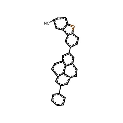 N#Cc1ccc2sc3ccc(-c4cc5ccc6cc(-c7ccccc7)cc7ccc(c4)c5c67)cc3c2c1